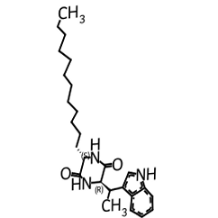 CCCCCCCCCCCC[C@@H]1NC(=O)[C@@H](C(C)c2c[nH]c3ccccc23)NC1=O